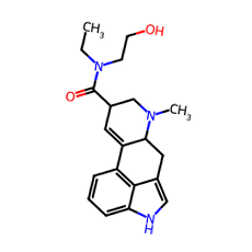 CCN(CCO)C(=O)C1C=C2c3cccc4[nH]cc(c34)CC2N(C)C1